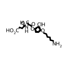 CC(NC(=O)CCC(=O)O)C(=O)Oc1ccc(OCCCCCCN)cc1.Cl